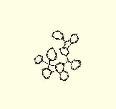 c1ccc(N(c2ccc3c(c2)c2ccccc2n3-c2ccccc2)c2cc3c(c4ccccc24)-c2ccccc2C3(c2ccccc2)c2ccccc2)cc1